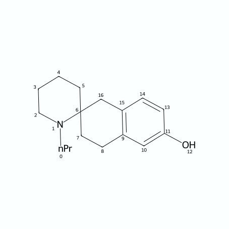 CCCN1CCCCC12CCc1cc(O)ccc1C2